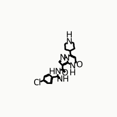 N=C(NC(=O)c1cnn2c(C3CCNCC3)cc(=O)[nH]c12)c1ccc(Cl)cc1